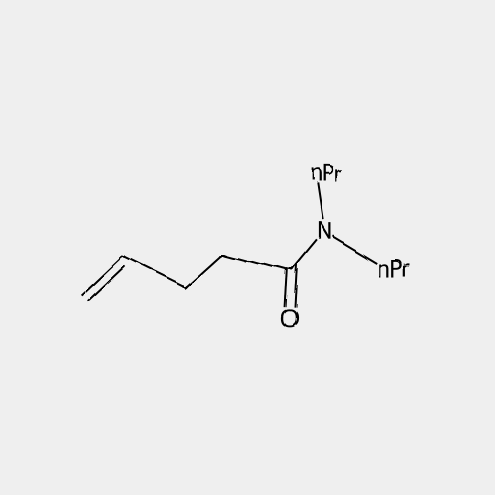 C=CCCC(=O)N(CCC)CCC